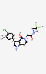 O=C(Cn1ccc2[nH]cc(-c3ccc(Cl)c(C(F)(F)F)c3)c2c1=O)N1CC(F)(F)C1